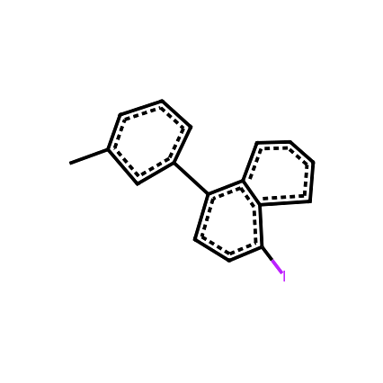 Cc1cccc(-c2ccc(I)c3ccccc23)c1